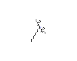 C=CC(=O)O/C=C(\CCCCCCCC)C(N)=O